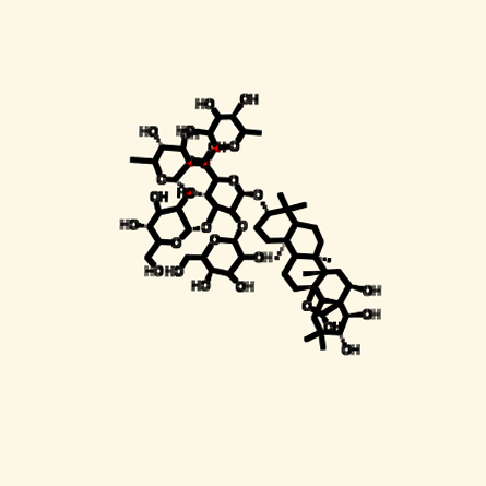 CC1O[C@@H](OC2C(O)[C@@H](O)C(C)O[C@H]2OC2C(O)[C@@H](O)C(CO)O[C@H]2OC2C(O[C@@H]3OC(CO)[C@H](O)C(O)C3O)[C@H](O[C@H]3CC[C@@]4(C)C(CC[C@]5(C)C4CC[C@]46O[C@H](O)[C@]7(C4CC(C)(C)[C@@H](O)[C@@H]7O)[C@H](O)C[C@]65C)C3(C)C)OC(C(=O)O)[C@H]2O)C(O)C(O)[C@H]1O